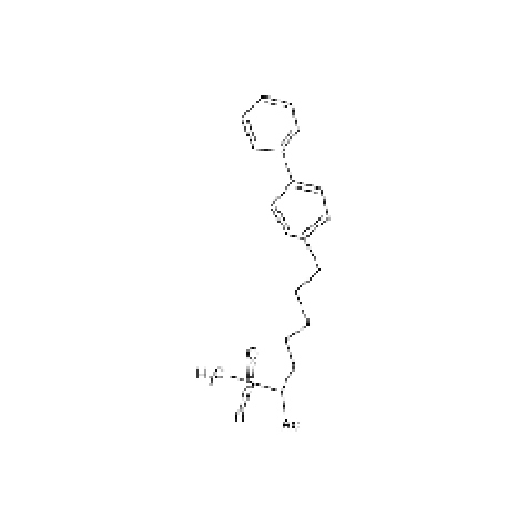 CC(=O)C(CCCCCc1ccc(-c2ccccc2)cc1)S(C)(=O)=O